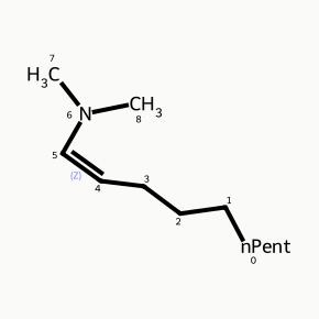 CCCCCCCC/C=C\N(C)C